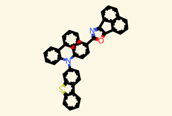 c1ccc(-c2ccccc2N(c2ccc(-c3nc4c(o3)-c3cccc5cccc-4c35)cc2)c2ccc3c(c2)sc2ccccc23)cc1